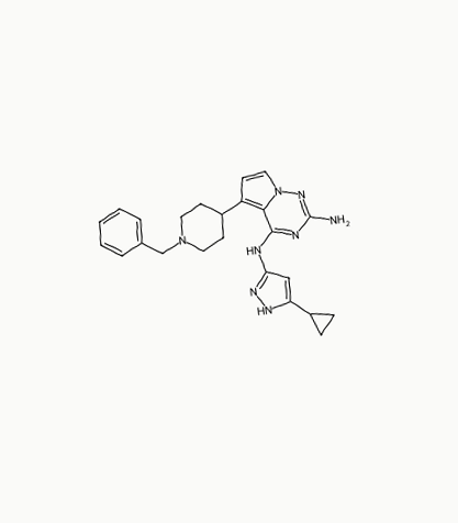 Nc1nc(Nc2cc(C3CC3)[nH]n2)c2c(C3CCN(Cc4ccccc4)CC3)ccn2n1